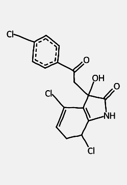 O=C(CC1(O)C(=O)NC2=C1C(Cl)=CCC2Cl)c1ccc(Cl)cc1